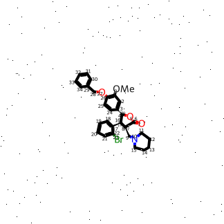 COc1cc([C@@H]2OC(=O)[C@@H](CN3CCCCC3)[C@H]2c2ccccc2Br)ccc1OCc1ccccc1